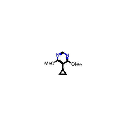 COc1ncnc(OC)c1C1CC1